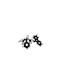 O=C(O)C[C@@H](NC(=O)OCC1c2ccccc2-c2ccccc21)C1CCCCC1